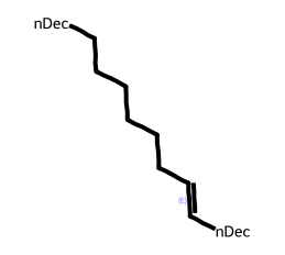 [CH2]CCCCCCCCC/C=C/CCCCCCCCCCCCCCC[CH2]